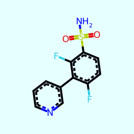 NS(=O)(=O)c1ccc(F)c(-c2cccnc2)c1F